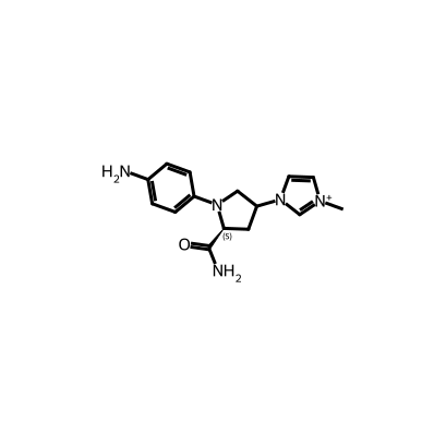 C[n+]1ccn(C2C[C@@H](C(N)=O)N(c3ccc(N)cc3)C2)c1